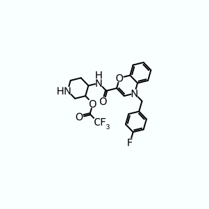 O=C(NC1CCNCC1OC(=O)C(F)(F)F)C1=CN(Cc2ccc(F)cc2)c2ccccc2O1